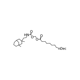 CCCCCCCCCCCCCCCCCC(=O)OCOC(=O)NCCC1(C)CC2CCCC(C)(C2)C1